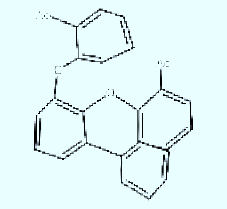 CC(=O)c1ccccc1Oc1cccc(-c2ccccc2)c1Oc1ccccc1C(C)=O